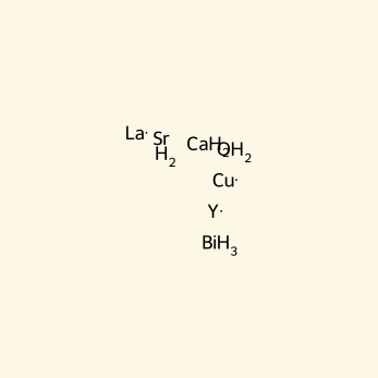 O.[BiH3].[CaH2].[Cu].[La].[SrH2].[Y]